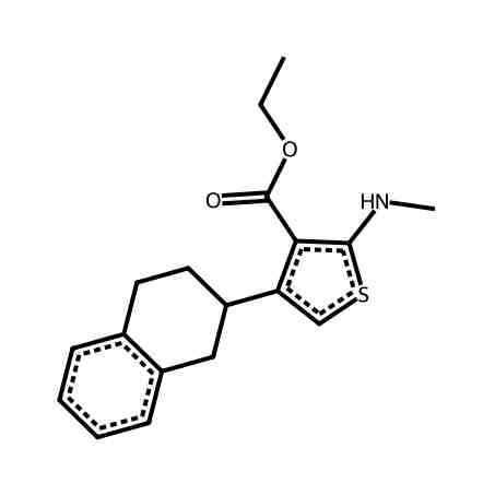 CCOC(=O)c1c(C2CCc3ccccc3C2)csc1NC